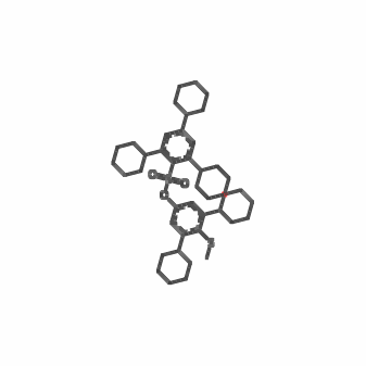 CSc1c(C2CCCCC2)cc(OS(=O)(=O)c2c(C3CCCCC3)cc(C3CCCCC3)cc2C2CCCCC2)cc1C1CCCCC1